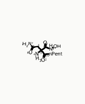 CCCCCC(=O)C(N)(CC(N)=O)C(=O)NO